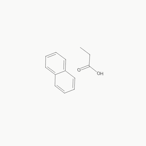 CCC(=O)O.c1ccc2ccccc2c1